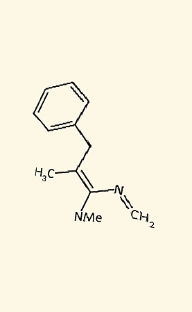 C=N/C(NC)=C(/C)Cc1ccccc1